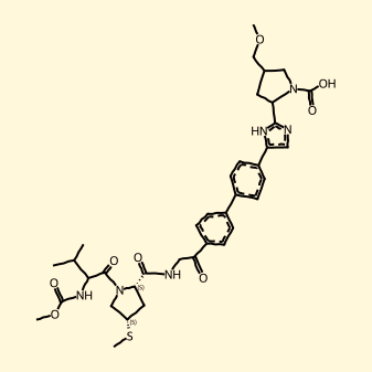 COCC1CC(c2ncc(-c3ccc(-c4ccc(C(=O)CNC(=O)[C@@H]5C[C@H](SC)CN5C(=O)C(NC(=O)OC)C(C)C)cc4)cc3)[nH]2)N(C(=O)O)C1